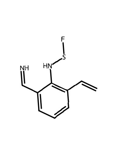 C=Cc1cccc(C=N)c1NSF